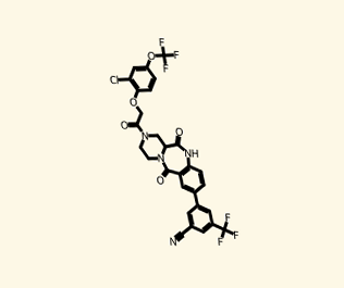 N#Cc1cc(-c2ccc3c(c2)C(=O)N2CCN(C(=O)COc4ccc(OC(F)(F)F)cc4Cl)CC2C(=O)N3)cc(C(F)(F)F)c1